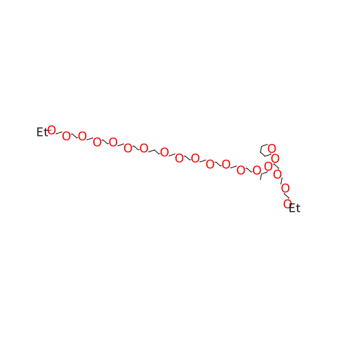 CCOCCOCCOCCOCCOCCOCCOCCCOCCOCCOCCOCCOCCOCCOC(C)COC(COCCOCCOCC)OC1CCCCO1